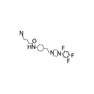 N#CCCCC(=O)NC1CCC(CCN2CCN(c3cc(F)c(F)cc3F)CC2)CC1